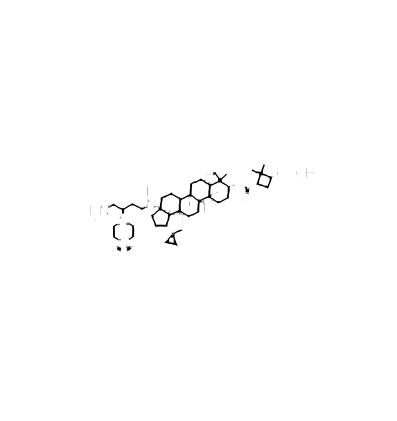 CC1([C@@H]2CC[C@]3(NCCC(CN)N4CCS(=O)(=O)CC4)CC[C@]4(C)[C@H](CC[C@@H]5[C@@]6(C)CC[C@H](OC(=O)[C@H]7C[C@@H](C(=O)O)C7(C)C)C(C)(C)[C@@H]6CC[C@]54C)[C@@H]23)CC1